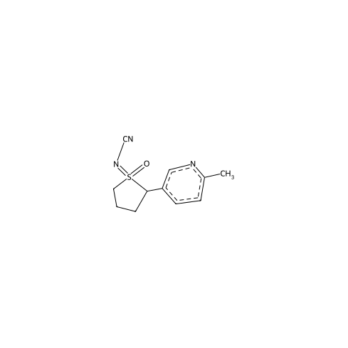 Cc1ccc(C2CCCS2(=O)=NC#N)cn1